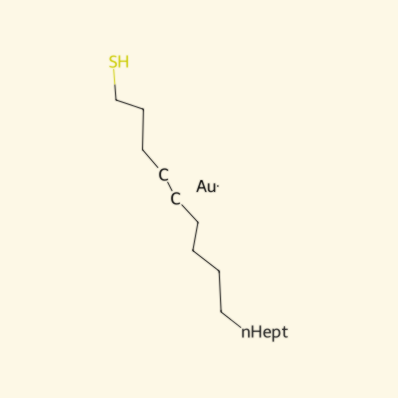 CCCCCCCCCCCCCCCCS.[Au]